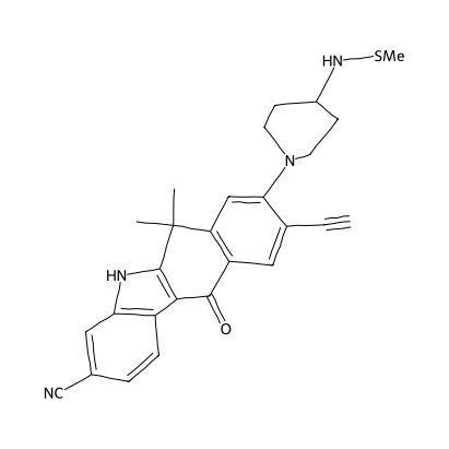 C#Cc1cc2c(cc1N1CCC(NSC)CC1)C(C)(C)c1[nH]c3cc(C#N)ccc3c1C2=O